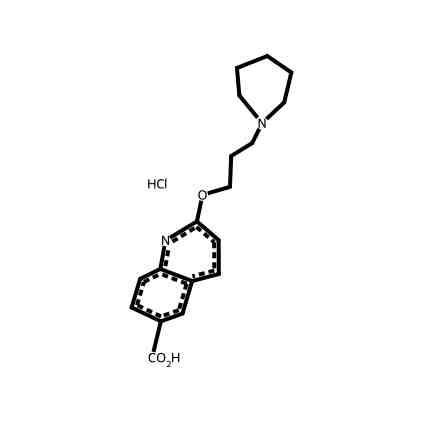 Cl.O=C(O)c1ccc2nc(OCCCN3CCCCC3)ccc2c1